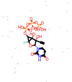 C#C[C@]1(O)[C@H](n2ccc(=O)[nH]c2=O)O[C@]2(F)C(OP(=O)(O)OP(=O)(O)OP(=O)(O)O)[C@@]21O